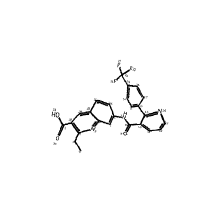 CCc1nc2cc(NC(=O)c3cccnc3-c3ccc(C(F)(F)F)cc3)ccc2cc1C(=O)O